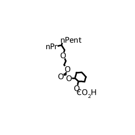 CCCCCC(CCC)COCCOC(=O)OC1CCCCC1OC(=O)O